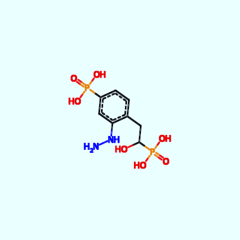 NNc1cc(P(=O)(O)O)ccc1CC(O)P(=O)(O)O